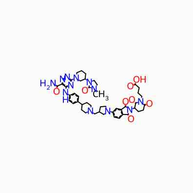 CN1CCN([C@@H]2CCCN(c3nnc(C(N)=O)c(Nc4ccc(C5CCN(CC6CCN(c7ccc8c(c7)C(=O)N(C7CCC(=O)N(CCCC(=O)O)C7=O)C8=O)C6)CC5)cc4)n3)C2)C1=O